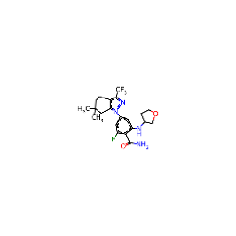 CC1(C)CCc2c(C(F)(F)F)nn(-c3cc(F)c(C(N)=O)c(NC4CCOC4)c3)c2C1